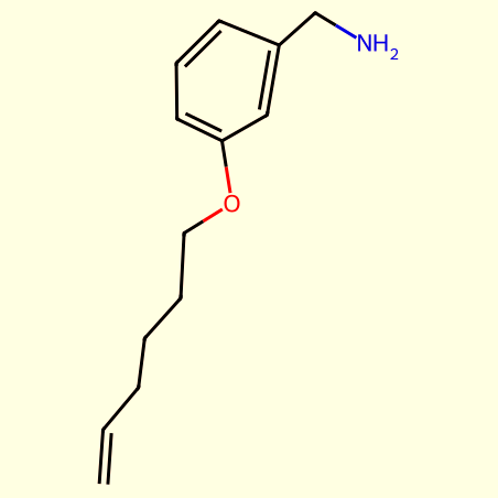 C=CCCCCOc1cccc(CN)c1